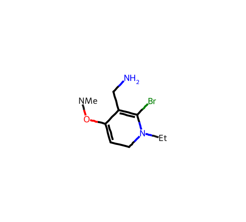 CCN1CC=C(ONC)C(CN)=C1Br